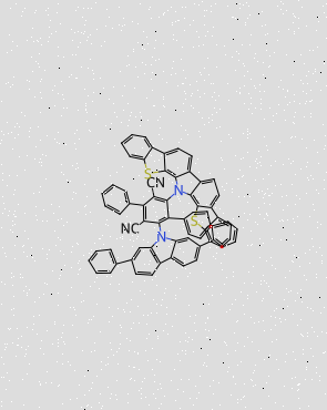 N#Cc1c(-c2ccccc2)c(C#N)c(-n2c3c(ccc4c5ccccc5sc43)c3ccc4c5ccccc5sc4c32)c(-c2ccccc2)c1-n1c2cc(-c3ccccc3)ccc2c2ccc(-c3ccccc3)cc21